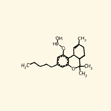 CCCCCc1cc(OPO)c2c(c1)OC(C)(C)C1CCC(C)=CC21